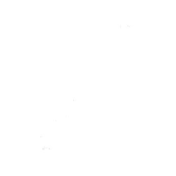 CCCCCCCCCCCCCCCCCCOOOOOOCCCCCCC